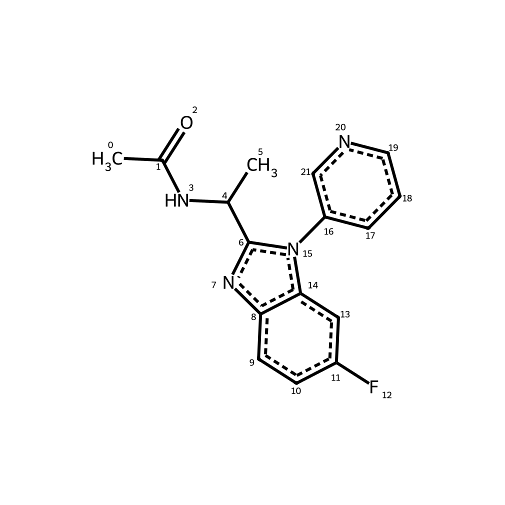 CC(=O)NC(C)c1nc2ccc(F)cc2n1-c1cccnc1